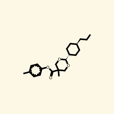 CCC[C@H]1CC[C@H](C2OCC(C)(C(=O)Oc3ccc(C)cc3)CO2)CC1